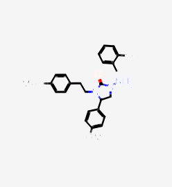 COc1ccc(CCN2C(=O)N(N)CC2c2ccc(OC)cc2)cc1.Cc1ccccc1S(=O)(=O)O